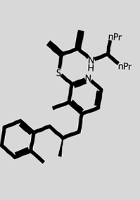 C=C(NC(CCC)CCC)C(=C)Sc1nccc(C[C@@H](C)CC2=CCCC=C2C)c1C